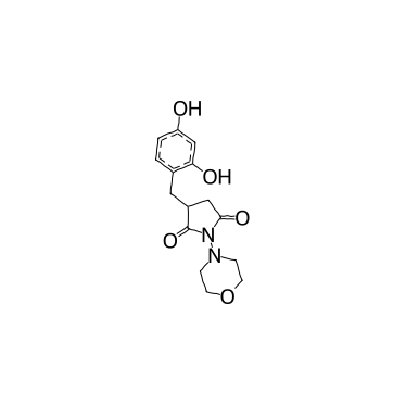 O=C1CC(Cc2ccc(O)cc2O)C(=O)N1N1CCOCC1